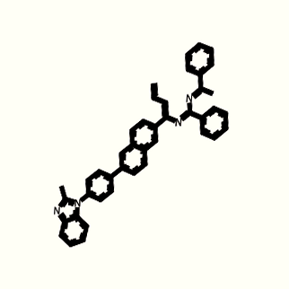 C=C/C=C(/N=C(\N=C(/C)c1ccccc1)c1ccccc1)c1ccc2cc(-c3ccc(-n4c(C)nc5ccccc54)cc3)ccc2c1